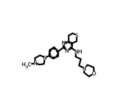 CN1CCN(c2ccc(-c3nc4c(c(NCCCN5CCOCC5)n3)CSCC4)cc2)CC1